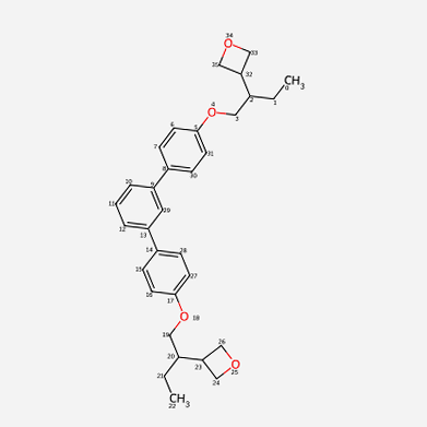 CCC(COc1ccc(-c2cccc(-c3ccc(OCC(CC)C4COC4)cc3)c2)cc1)C1COC1